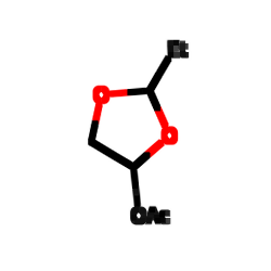 CCC1OCC(OC(C)=O)O1